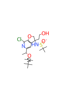 CC(O[Si](C)(C)C(C)(C)C)c1cc2c(c(Cl)n1)OCC2(CCO)N[S+]([O-])C(C)(C)C